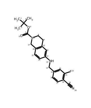 CC(C)(C)OC(=O)N1CCc2cc(NCc3ccc(C#N)c(F)c3)ccc2C1